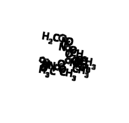 C=C1/C=C\C=C/N2C(=O)c3cc(OC)c(OCc4cc(COc5cc(NC[C@@H]6Cc7ccccc7N6C=O)c(C)cc5OC)cc(N(CC(C)(C)S)OOOC)c4)cc3N=CC2C1